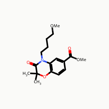 COCCCCN1C(=O)C(C)(C)Oc2ccc(C(=O)OC)cc21